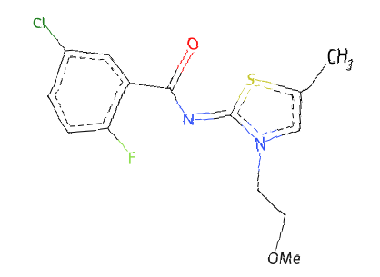 COCCn1cc(C)sc1=NC(=O)c1cc(Cl)ccc1F